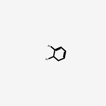 CC(=O)C1=CC=CCC1C(C)=O